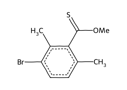 COC(=S)c1c(C)ccc(Br)c1C